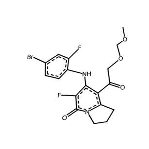 COCOCC(=O)c1c(Nc2ccc(Br)cc2F)c(F)c(=O)n2c1CCC2